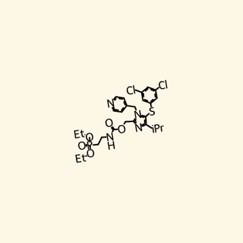 CCOP(=O)(CCNC(=O)OCc1nc(C(C)C)c(Sc2cc(Cl)cc(Cl)c2)n1Cc1ccncc1)OCC